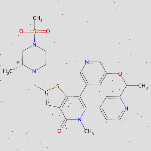 CC(Oc1cncc(-c2cn(C)c(=O)c3cc(CN4CCN(S(C)(=O)=O)C[C@H]4C)sc23)c1)c1ccccn1